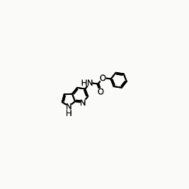 O=C(Nc1cnc2[nH]ccc2c1)Oc1ccccc1